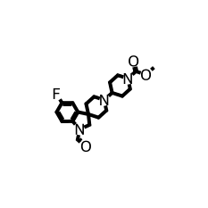 COC(=O)N1CCC(N2CCC3(CC2)CN(C=O)c2ccc(F)cc23)CC1